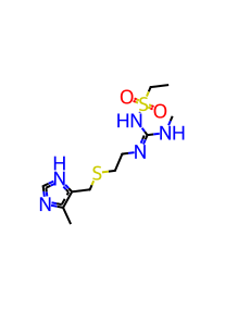 CCS(=O)(=O)NC(=NCCSCc1[nH]cnc1C)NC